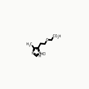 Cc1nc[nH]c1CCOCC(=O)O.Cl